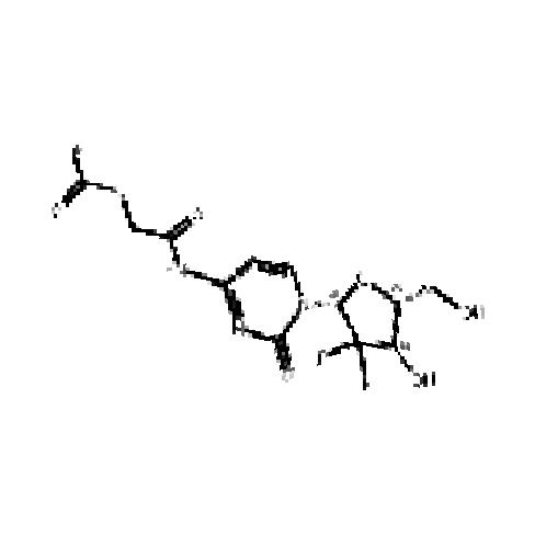 CCCC(=O)OCC(=O)Nc1ccn([C@@H]2O[C@H](CO)[C@@H](O)C2(F)F)c(=O)n1